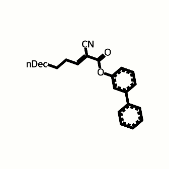 CCCCCCCCCCCCC=C(C#N)C(=O)Oc1cccc(-c2ccccc2)c1